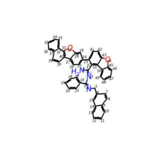 N/C(=N\C(=N/Cc1ccc2ccccc2c1)c1ccccc1)c1c(-c2ccc3c(c2)oc2c4ccccc4ccc32)ccc2oc3ccccc3c12